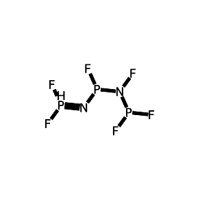 FN(P(F)F)P(F)N=[PH](F)F